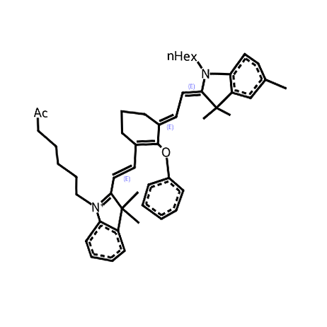 CCCCCCN1/C(=C/C=C2\CCCC(/C=C/C3=[N+](CCCCCC(C)=O)c4ccccc4C3(C)C)=C2Oc2ccccc2)C(C)(C)c2cc(C)ccc21